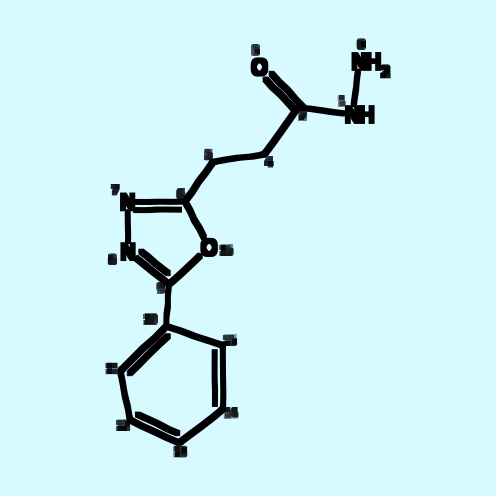 NNC(=O)CCc1nnc(-c2ccccc2)o1